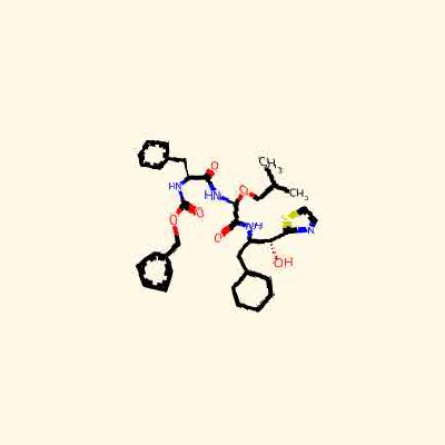 CC(C)CO[C@H](NC(=O)[C@H](Cc1ccccc1)NC(=O)OCc1ccccc1)C(=O)NC(CC1CCCCC1)[C@@H](O)c1nccs1